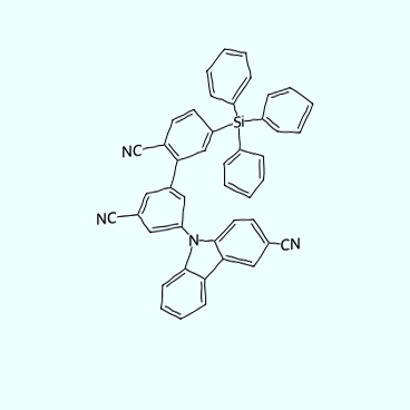 N#Cc1cc(-c2cc([Si](c3ccccc3)(c3ccccc3)c3ccccc3)ccc2C#N)cc(-n2c3ccccc3c3cc(C#N)ccc32)c1